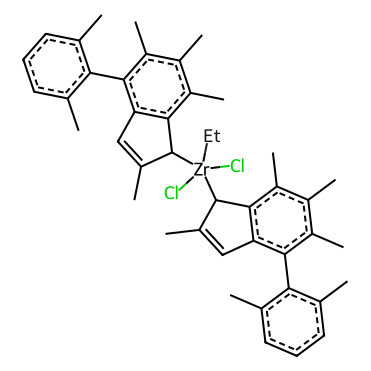 C[CH2][Zr]([Cl])([Cl])([CH]1C(C)=Cc2c(-c3c(C)cccc3C)c(C)c(C)c(C)c21)[CH]1C(C)=Cc2c(-c3c(C)cccc3C)c(C)c(C)c(C)c21